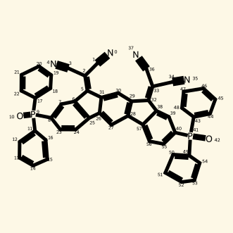 N#CC(C#N)=C1c2cc(P(=O)(c3ccccc3)c3ccccc3)ccc2-c2cc3c(cc21)C(=C(C#N)C#N)c1cc(P(=O)(c2ccccc2)c2ccccc2)ccc1-3